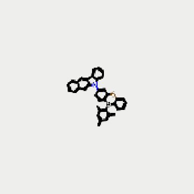 Cc1cc(C)c(B2c3ccccc3Sc3cc(-n4c5ccccc5c5cc6ccccc6cc54)ccc32)c(C)c1